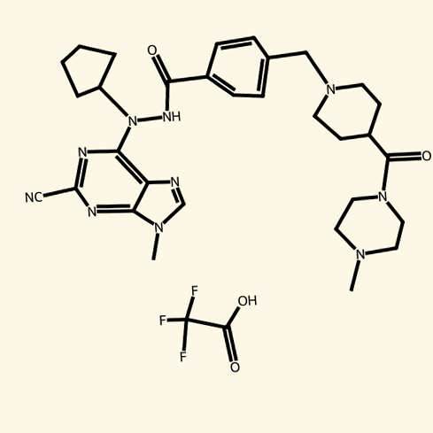 CN1CCN(C(=O)C2CCN(Cc3ccc(C(=O)NN(c4nc(C#N)nc5c4ncn5C)C4CCCC4)cc3)CC2)CC1.O=C(O)C(F)(F)F